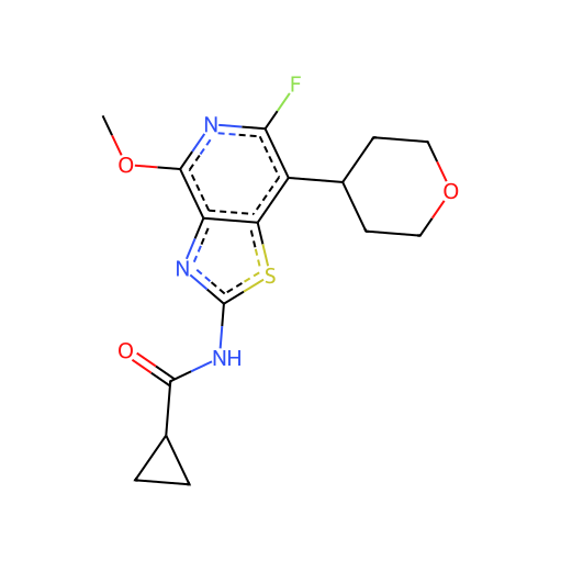 COc1nc(F)c(C2CCOCC2)c2sc(NC(=O)C3CC3)nc12